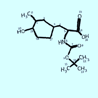 CC1CC(CC(NC(=O)OC(C)(C)C)C(=O)O)CCC1O